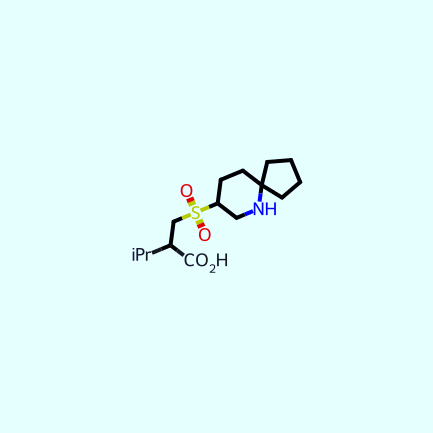 CC(C)C(CS(=O)(=O)C1CCC2(CCCC2)NC1)C(=O)O